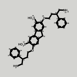 NCC(CCOc1cc2c(cc1S(=O)(=O)O)-c1cc(S(=O)(=O)O)c(OCCC(CN)c3ccccc3)cc1C2)c1ccccc1